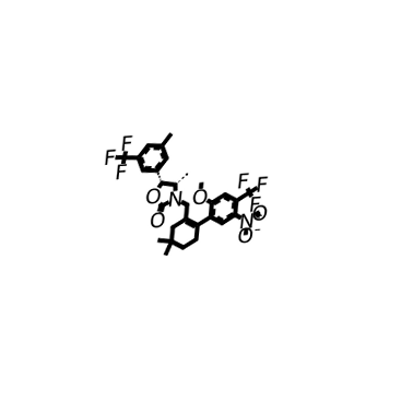 COc1cc(C(F)(F)F)c([N+](=O)[O-])cc1C1=C(CN2C(=O)O[C@H](c3cc(C)cc(C(F)(F)F)c3)[C@@H]2C)CC(C)(C)CC1